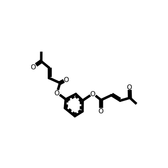 CC(=O)/C=C/C(=O)Oc1cccc(OC(=O)/C=C/C(C)=O)c1